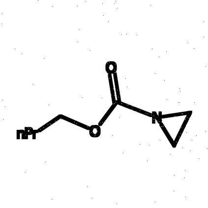 CCCCOC(=O)N1CC1